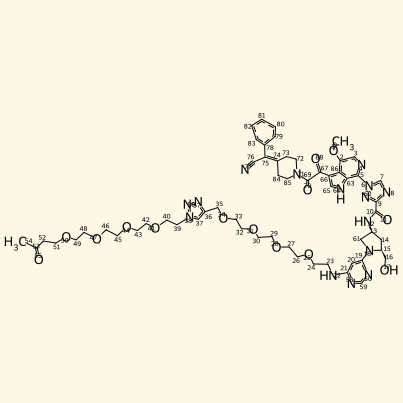 COc1cnc(-n2cnc(C(=O)N[C@H]3C[C@@H](CO)N(c4cc(NCCOCCOCCOCCOCc5cn(CCOCCOCCOCCOCCC(C)=O)nn5)ncn4)C3)n2)c2[nH]cc(C(=O)C(=O)N3CCC(=C(C#N)c4ccccc4)CC3)c12